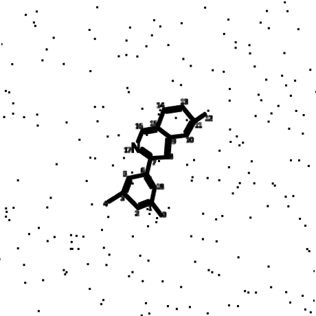 Cc1cc(C)cc(-c2cc3cc(C)ccc3cn2)c1